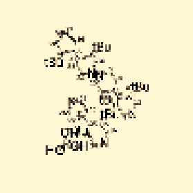 CC(C)(C)c1cnccc1-c1ccncc1C(C)(C)C.CC(C)(C)c1cnccc1-c1ccncc1C(C)(C)C.CC(C)(C)c1cnccc1-c1ccncc1C(C)(C)C.OP(O)O